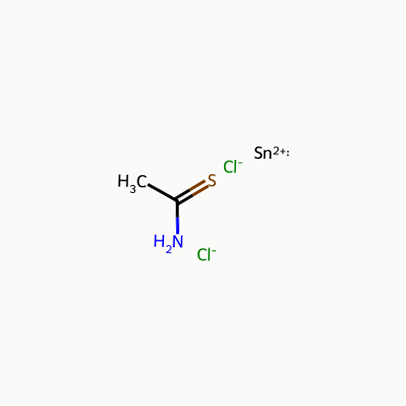 CC(N)=S.[Cl-].[Cl-].[Sn+2]